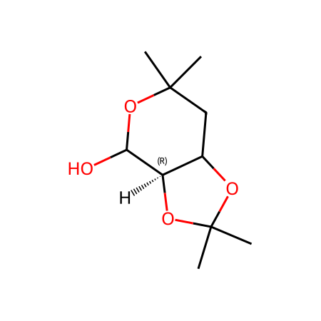 CC1(C)CC2OC(C)(C)O[C@H]2C(O)O1